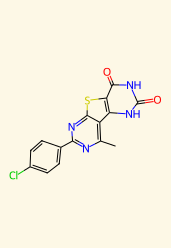 Cc1nc(-c2ccc(Cl)cc2)nc2sc3c(=O)[nH]c(=O)[nH]c3c12